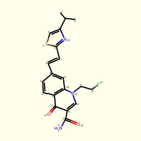 CC(C)c1csc(C=Cc2ccc3c(=O)c(C(N)=O)cn(CCF)c3c2)n1